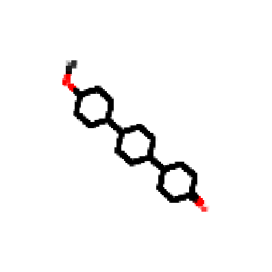 CCOC1CCC(C2CCC(C3CCC(=O)CC3)CC2)CC1